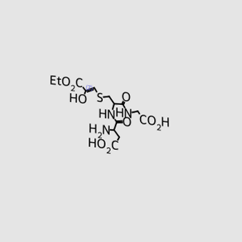 CCOC(=O)/C(O)=C/SCC(NC(=O)C(N)CC(=O)O)C(=O)NCC(=O)O